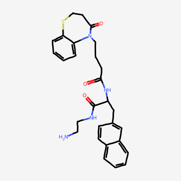 NCCNC(=O)C(Cc1ccc2ccccc2c1)NC(=O)CCCN1C(=O)CCSc2ccccc21